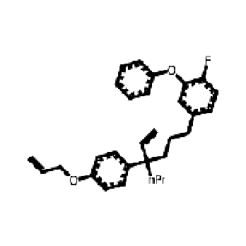 C=CCOc1ccc(C(C=C)(CCC)CCCc2ccc(F)c(Oc3ccccc3)c2)cc1